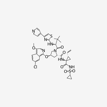 C=C[C@@H]1C[C@]1(NC(=O)[C@@H]1C[C@@H](Oc2ncc(OC)c3ccc(Cl)cc23)CN1C(=O)[C@@H](Nc1nc(-c2ccncc2)cs1)C(C)(C)C)C(=O)NS(=O)(=O)C1CC1